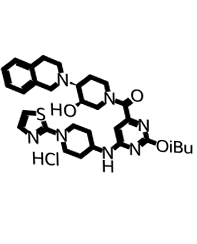 CC(C)COc1nc(NC2CCN(c3nccs3)CC2)cc(C(=O)N2CC[C@@H](N3CCc4ccccc4C3)[C@H](O)C2)n1.Cl